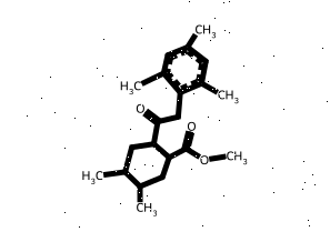 COC(=O)C1CC(C)C(C)CC1C(=O)Cc1c(C)cc(C)cc1C